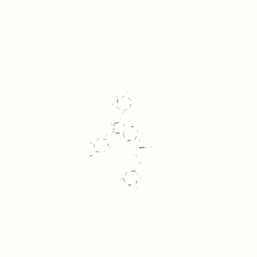 O=C(NCc1ccccn1)c1ccc2c(-c3ccccc3Cl)nn(-c3ccc(F)cc3)c2c1